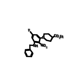 CCOC(=O)C1CCN(c2cc(F)cc(NCc3ccccc3)c2[N+](=O)[O-])CC1